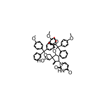 C=C1C(n2ccc(=O)[nH]c2=O)CC(OC(c2ccccc2)(c2ccc(OC)cc2)c2ccc(OC)cc2)C1(C=NO)COC(c1ccccc1)(c1ccc(OC)cc1)c1ccc(OC)cc1